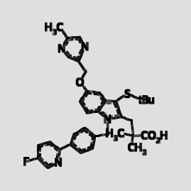 Cc1cnc(COc2ccc3c(c2)c(SC(C)(C)C)c(CC(C)(C)C(=O)O)n3Cc2ccc(-c3ccc(F)cn3)cc2)cn1